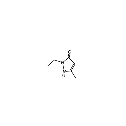 CCn1[nH]c(C)cc1=O